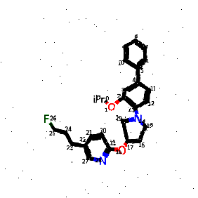 CC(C)Oc1cc(-c2ccccc2)ccc1N1CCC(Oc2ccc(CCCF)cn2)C1